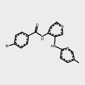 Cc1ccc(Nc2cnccc2NC(=O)c2ccc(Br)cc2)nc1